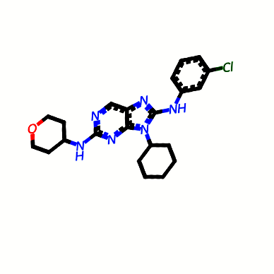 Clc1cccc(Nc2nc3cnc(NC4CCOCC4)nc3n2C2CCCCC2)c1